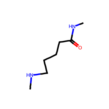 CNCCCCC(=O)NC